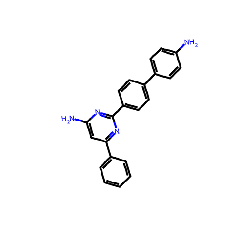 Nc1ccc(-c2ccc(-c3nc(N)cc(-c4ccccc4)n3)cc2)cc1